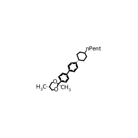 CCCCC[C@H]1CC[C@H](c2ccc(-c3ccc([C@]4(C)OC[C@@H](C)CO4)cc3)cc2)CC1